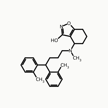 Cc1ccccc1C(CCCN(C)C1CCCc2onc(O)c21)c1ccccc1C